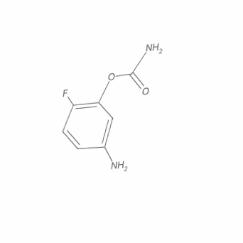 NC(=O)Oc1cc(N)ccc1F